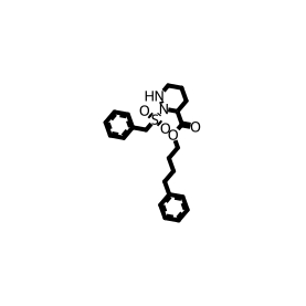 O=C(OCCCCc1ccccc1)C1CCCNN1S(=O)(=O)Cc1ccccc1